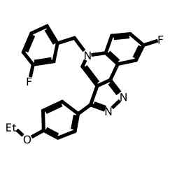 CCOc1ccc(-c2nnc3c4cc(F)ccc4n(Cc4cccc(F)c4)cc2-3)cc1